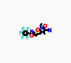 CCN1C(=O)C(C#N)=C(C)/C(=C/c2cc3oc(-c4c(F)c(F)c(F)c(F)c4F)nc3s2)C1=O